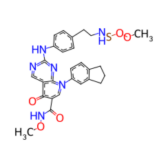 CONC(=O)c1cn(-c2ccc3c(c2)CCC3)c2nc(Nc3ccc(CCNSOOC)cc3)ncc2c1=O